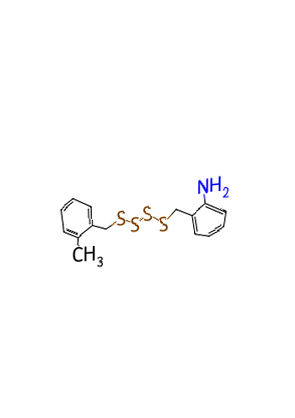 Cc1ccccc1CSSSSCc1ccccc1N